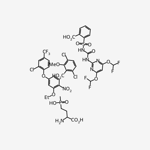 CCOc1cc(Oc2ccc(C(F)(F)F)cc2Cl)ccc1[N+](=O)[O-].COc1c(Cl)ccc(Cl)c1C(=O)O.CP(=O)(O)CCC(N)C(=O)O.O=C(Nc1nc(OC(F)F)cc(OC(F)F)n1)NS(=O)(=O)c1ccccc1C(=O)O